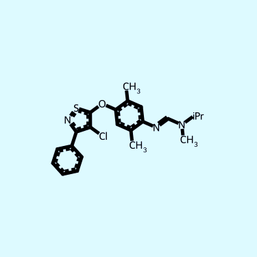 Cc1cc(Oc2snc(-c3ccccc3)c2Cl)c(C)cc1N=CN(C)C(C)C